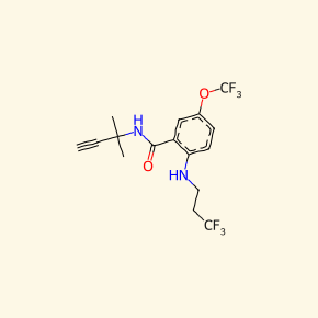 C#CC(C)(C)NC(=O)c1cc(OC(F)(F)F)ccc1NCCC(F)(F)F